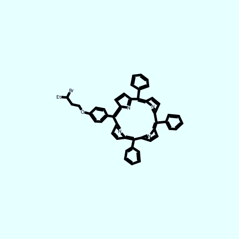 CCC(Br)CCOc1ccc(C2=C3C=CC(=N3)C(c3ccccc3)=C3C=CC(=N3)C(c3ccccc3)=C3C=CC(=N3)C(c3ccccc3)=C3C=CC2=N3)cc1